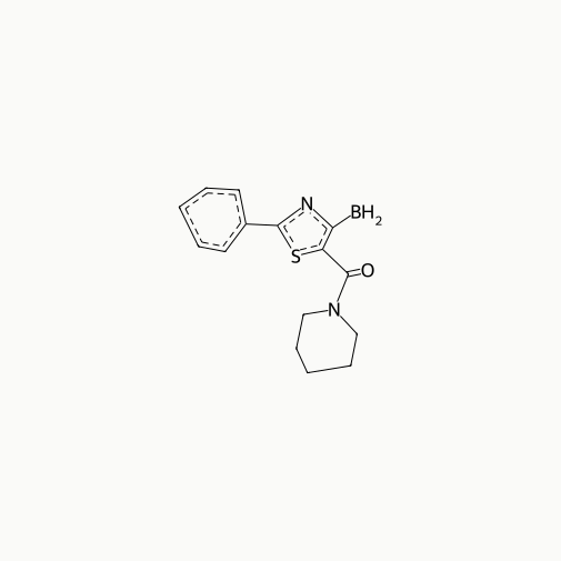 Bc1nc(-c2ccccc2)sc1C(=O)N1CCCCC1